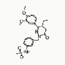 CCC1CC(=O)N(Cc2cccc(NS(C)(=O)=O)c2)N=C1c1ccc(OC)c(OC)c1